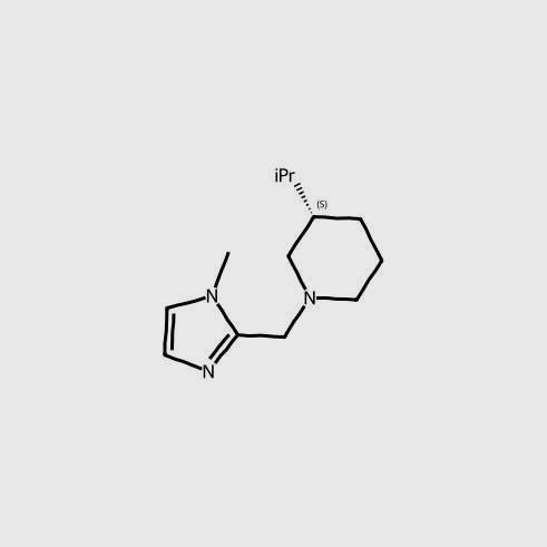 CC(C)[C@@H]1CCCN(Cc2nccn2C)C1